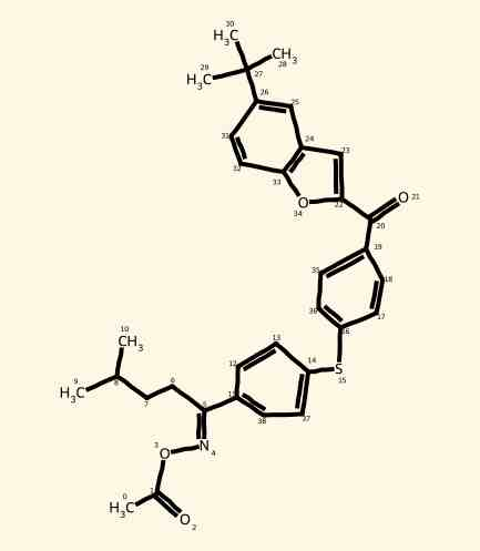 CC(=O)ON=C(CCC(C)C)c1ccc(Sc2ccc(C(=O)c3cc4cc(C(C)(C)C)ccc4o3)cc2)cc1